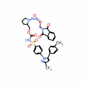 Cc1ccc(-c2cc(C(F)(F)F)nn2-c2ccc(S(=O)(=O)NC(=O)OCC3CCCN3n3on3OCN3C(=O)c4ccccc4C3=O)cc2)cc1